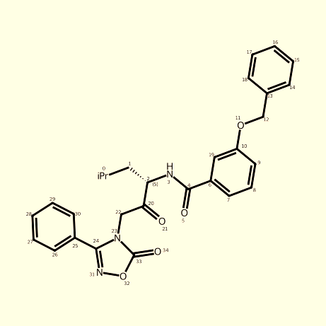 CC(C)C[C@H](NC(=O)c1cccc(OCc2ccccc2)c1)C(=O)Cn1c(-c2ccccc2)noc1=O